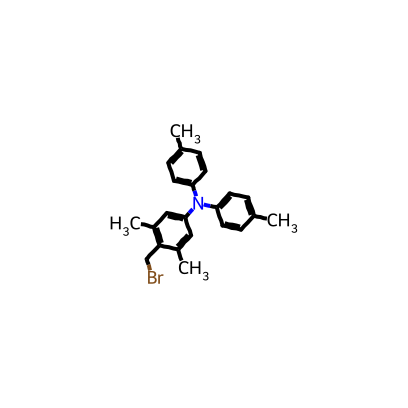 Cc1ccc(N(c2ccc(C)cc2)c2cc(C)c(CBr)c(C)c2)cc1